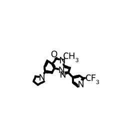 Cn1c(=O)c2ccc(N3CCCC3)cc2n2nc(-c3ccnc(C(F)(F)F)c3)cc12